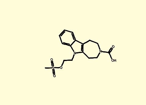 CS(=O)(=O)OCCn1c2c(c3ccccc31)CCN(C(=O)O)CC2